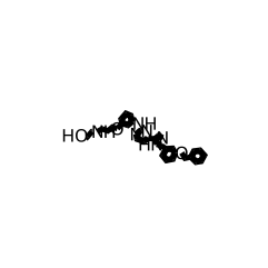 OCCNCCCOc1cccc(Nc2nccc(-c3cnc(-c4cccc(OCc5ccccc5)c4)[nH]3)n2)c1